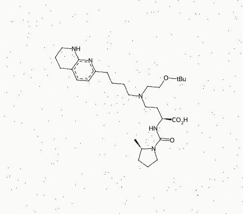 C[C@@H]1CCCN1C(=O)N[C@@H](CCN(CCCCc1ccc2c(n1)NCCC2)CCOC(C)(C)C)C(=O)O